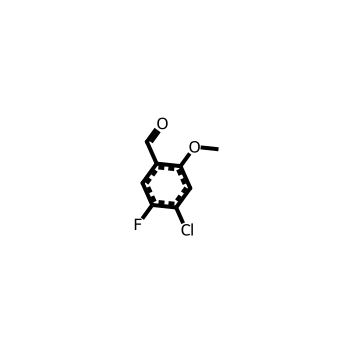 COc1cc(Cl)c(F)cc1C=O